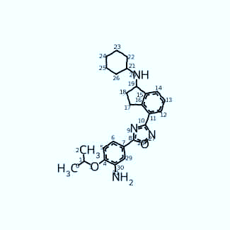 CC(C)Oc1ccc(-c2nc(-c3cccc4c3CCC4NC3CCCCC3)no2)cc1N